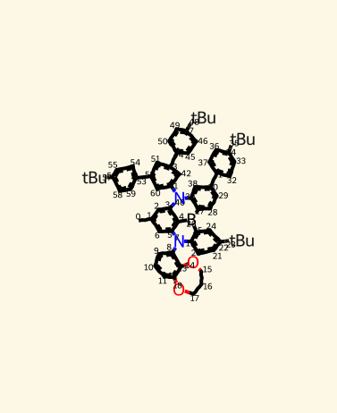 Cc1cc2c3c(c1)N(c1cccc4c1OCCCO4)c1ccc(C(C)(C)C)cc1B3c1ccc(-c3ccc(C(C)(C)C)cc3)cc1N2c1cc(-c2ccc(C(C)(C)C)cc2)cc(-c2ccc(C(C)(C)C)cc2)c1